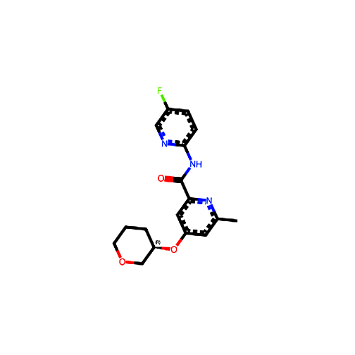 Cc1cc(O[C@@H]2CCCOC2)cc(C(=O)Nc2ccc(F)cn2)n1